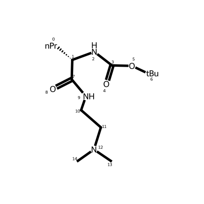 CCC[C@H](NC(=O)OC(C)(C)C)C(=O)NCCN(C)C